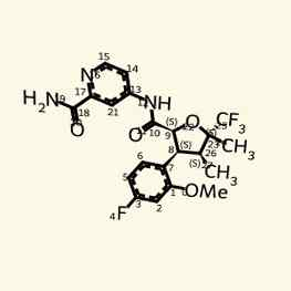 COc1cc(F)ccc1[C@H]1[C@@H](C(=O)Nc2ccnc(C(N)=O)c2)O[C@](C)(C(F)(F)F)[C@H]1C